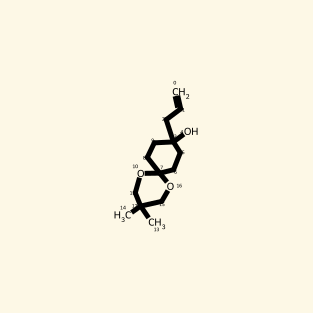 C=CCC1(O)CCC2(CC1)OCC(C)(C)CO2